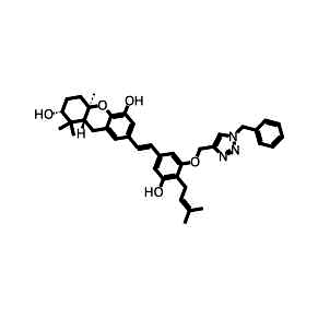 CC(C)=CCc1c(O)cc(/C=C/c2cc(O)c3c(c2)C[C@@H]2C(C)(C)[C@H](O)CC[C@@]2(C)O3)cc1OCc1cn(Cc2ccccc2)nn1